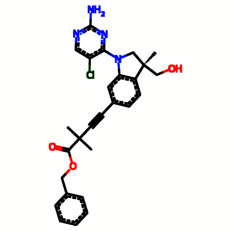 CC(C)(C#Cc1ccc2c(c1)N(c1nc(N)ncc1Cl)C[C@@]2(C)CO)C(=O)OCc1ccccc1